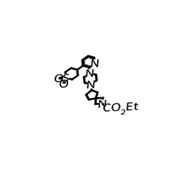 CCOC(=O)N1CC2(CC[C@@H](N3CCN(c4ncccc4C4CCS(=O)(=O)CC4)CC3)C2)C1